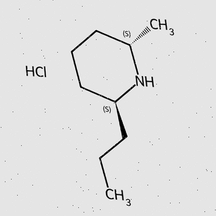 CCC[C@H]1CCC[C@H](C)N1.Cl